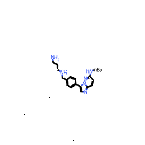 CCCCNc1ccc2ncc(-c3ccc(CNCCCN)cc3)n2n1